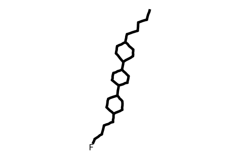 CCCCCC1CCC(C2CCC(C3CCC(CCCCF)CC3)CC2)CC1